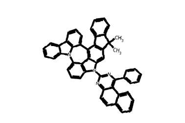 CC1(C)c2ccccc2-c2c1cc1c3c2c2cccc4c5ccccc5n(c5cccc(c35)n1-c1nc(-c3ccccc3)c3c(ccc5ccccc53)n1)c42